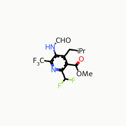 COC(=O)c1c(C(F)F)nc(C(F)(F)F)c(NC=O)c1CC(C)C